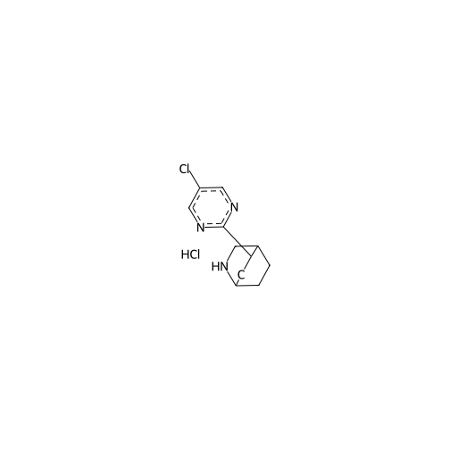 Cl.Clc1cnc(C2CC3CCC2CN3)nc1